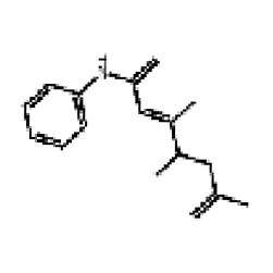 C=C(C)CC(C)/C(C)=C/C(=C)Nc1ccccc1